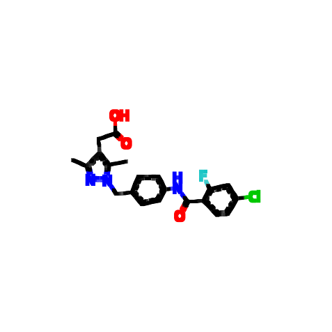 Cc1nn(Cc2ccc(NC(=O)c3ccc(Cl)cc3F)cc2)c(C)c1CC(=O)O